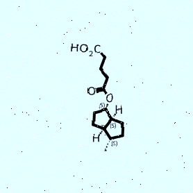 C[C@H]1CC[C@H]2[C@@H]1CC[C@@H]2OC(=O)CCCC(=O)O